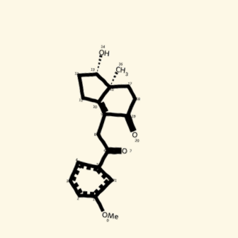 COc1cccc(C(=O)CC2=C3CC[C@H](O)[C@@]3(C)CCC2=O)c1